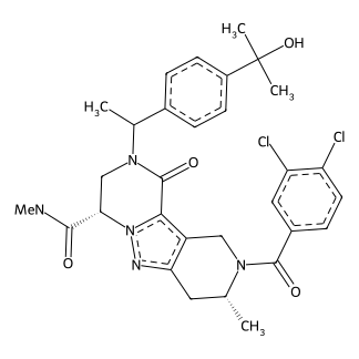 CNC(=O)[C@@H]1CN(C(C)c2ccc(C(C)(C)O)cc2)C(=O)c2c3c(nn21)C[C@@H](C)N(C(=O)c1ccc(Cl)c(Cl)c1)C3